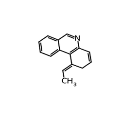 CC=C1CC=Cc2ncc3ccccc3c21